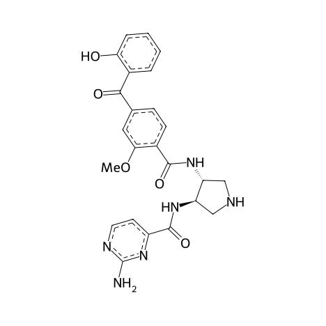 COc1cc(C(=O)c2ccccc2O)ccc1C(=O)N[C@@H]1CNC[C@H]1NC(=O)c1ccnc(N)n1